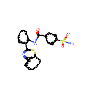 NS(=O)(=O)c1ccc(C(=O)Nc2ccccc2-c2nc3ccccc3s2)cc1